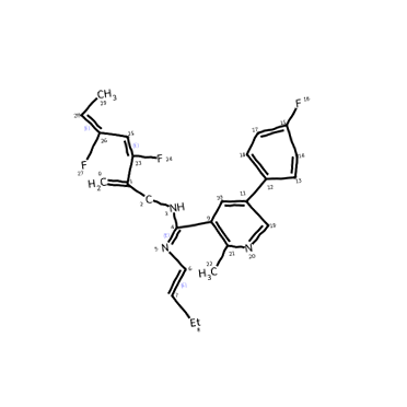 C=C(CN/C(=N/C=C/CC)c1cc(-c2ccc(F)cc2)cnc1C)/C(F)=C\C(F)=C/C